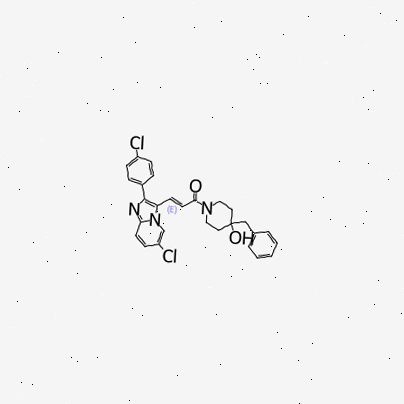 O=C(/C=C/c1c(-c2ccc(Cl)cc2)nc2ccc(Cl)cn12)N1CCC(O)(Cc2ccccc2)CC1